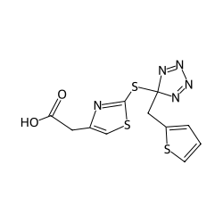 O=C(O)Cc1csc(SC2(Cc3cccs3)N=NN=N2)n1